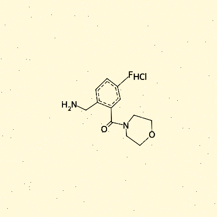 Cl.NCc1ccc(F)cc1C(=O)N1CCOCC1